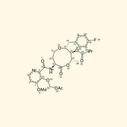 COc1ccnc(C(=O)N[C@H]2CCO[C@H](Cc3ccc(F)cc3)[C@@H](OC(=O)C(C)C)[C@H](C)OC2=O)c1OCOC(C)=O